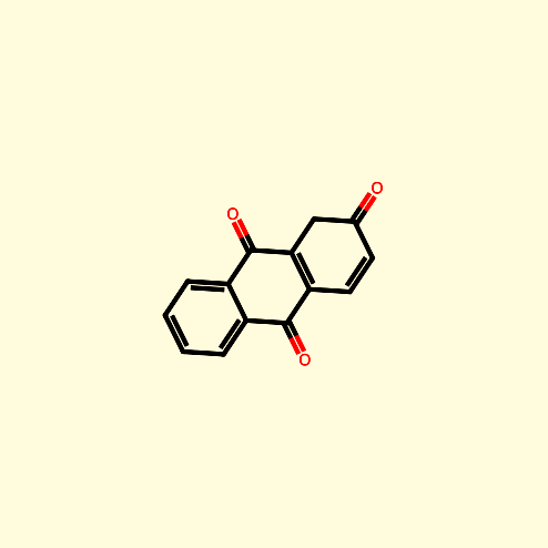 O=C1C=CC2=C(C1)C(=O)c1ccccc1C2=O